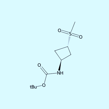 CC(C)(C)OC(=O)N[C@H]1C[C@H](S(C)(=O)=O)C1